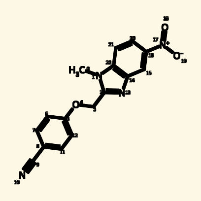 Cn1c(COc2ccc(C#N)cc2)nc2cc([N+](=O)[O-])ccc21